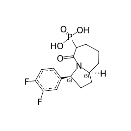 O=C1C(P(=O)(O)O)CCC[C@H]2CC[C@@H](c3ccc(F)c(F)c3)N12